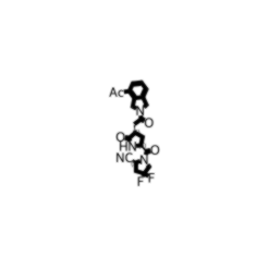 CC(=O)c1cccc2c1CN(C(=O)C[C@@H]1C[C@@H](C(=O)N3CC(F)(F)C[C@H]3C#N)NC1=O)C2